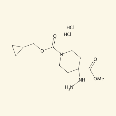 COC(=O)C1(NN)CCN(C(=O)OCC2CC2)CC1.Cl.Cl